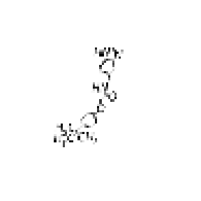 CC(C)(C)c1ccc(OCC(=O)NCc2ccc3[nH]cnc3c2)cc1